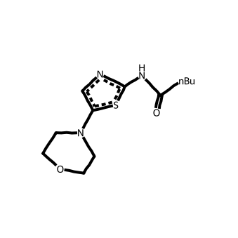 CCCCC(=O)Nc1ncc(N2CCOCC2)s1